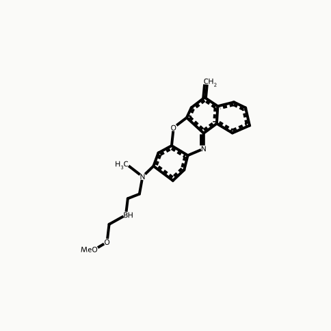 C=c1cc2c(c3ccccc13)=Nc1ccc(N(C)CCBCOOC)cc1O2